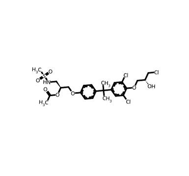 CC(=O)O[C@@H](CNS(C)(=O)=O)COc1ccc(C(C)(C)c2cc(Cl)c(OC[C@@H](O)CCl)c(Cl)c2)cc1